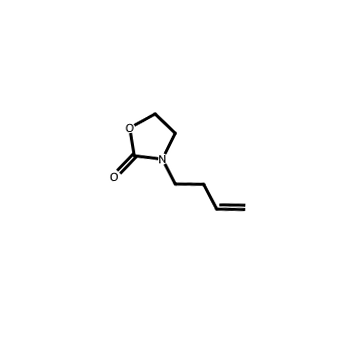 C=CCCN1CCOC1=O